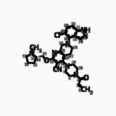 C=CC(=O)N1CCN(c2c(C#N)c(OC[C@@H]3CCCN3C)nc3c2CCN(c2c(Cl)ccc4[nH]ncc24)C3)CC1